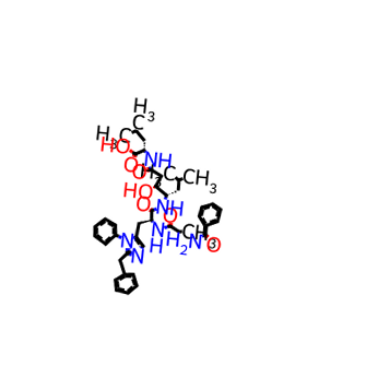 CCC(=O)N[C@@H](Cc1cnc(Cc2ccccc2)n1-c1ccccc1)C(=O)N[C@@H](CC(C)C)[C@@H](O)CC(=O)N[C@@H](CC(C)C)C(=O)O.NC(=O)c1ccccc1